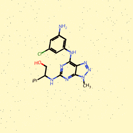 CC(C)C(CO)Nc1nc(Nc2cc(N)cc(Cl)c2)c2nnn(C)c2n1